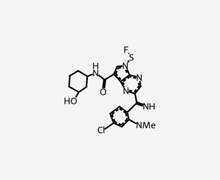 CNc1cc(Cl)ccc1C(=N)c1cnc2c(n1)c(C(=O)NC1CCCC(O)C1)cn2SF